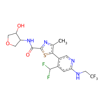 Cc1nc(C(=O)NC2COCC2O)sc1-c1cnc(NCC(F)(F)F)cc1C(F)F